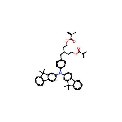 C=C(C)C(=O)OCCC(CCOC(=O)C(=C)C)Cc1ccc(N(c2ccc3c(c2)C(C)(C)c2ccccc2-3)c2ccc3c(c2)C(C)(C)c2ccccc2-3)cc1